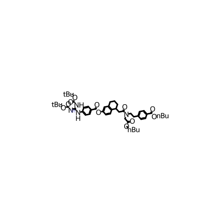 CCCCOC(=O)CN(CCc1ccc(C(=O)OCCCC)cc1)C(=O)CC1CCCc2cc(OC(=O)c3ccc(N/C(=N/C(=O)OC(C)(C)C)NC(=O)OC(C)(C)C)cc3)ccc21